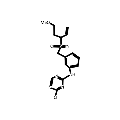 C=CC(CCOC)S(=O)(=O)Cc1cccc(Nc2ncnc(Cl)n2)c1